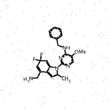 COc1cnc(N2C3=CC(F)(F)C=C(CN)C3=CC2C)nc1NCc1ccccc1